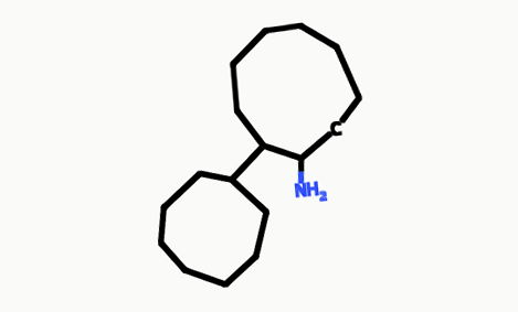 NC1CCCCCCCC1C1CCCCCCC1